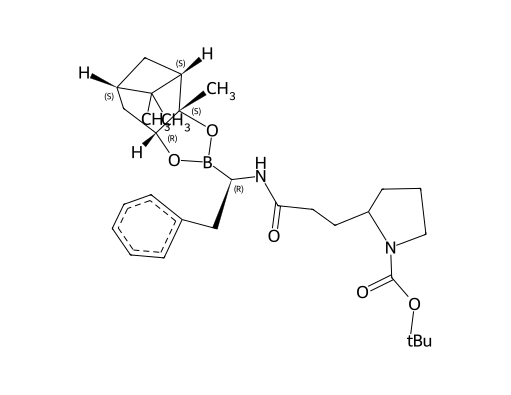 CC(C)(C)OC(=O)N1CCCC1CCC(=O)N[C@@H](Cc1ccccc1)B1O[C@@H]2C[C@@H]3C[C@@H](C3(C)C)[C@]2(C)O1